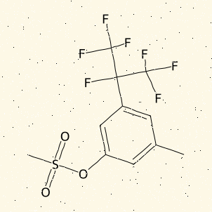 Cc1[c]c(OS(C)(=O)=O)cc(C(F)(C(F)(F)F)C(F)(F)F)c1